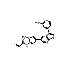 C=CC(=O)Nc1nc(-c2cnc3[nH]cc(-c4ccnc(NC)c4)c3c2)cn1C